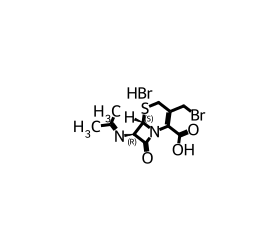 Br.CC(C)=N[C@@H]1C(=O)N2C(C(=O)O)=C(CBr)CS[C@@H]12